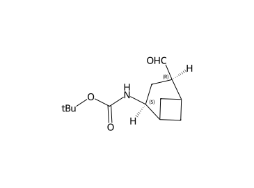 CC(C)(C)OC(=O)N[C@H]1C[C@@H](C=O)C2CC1C2